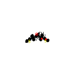 C=Cc1oc2cc(-c3c4ccccc4c(-c4ccc5c(c4)sc4ccccc45)c4ccccc34)ccc2c1/C=C(\C)c1c2ccccc2c(-c2ccc3c(c2)sc2ccccc23)c2ccccc12